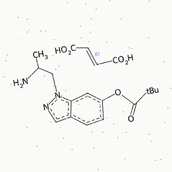 CC(N)Cn1ncc2ccc(OC(=O)C(C)(C)C)cc21.O=C(O)/C=C/C(=O)O